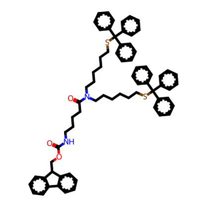 O=C(NCCCCC(=O)N(CCCCCCSC(c1ccccc1)(c1ccccc1)c1ccccc1)CCCCCCSC(c1ccccc1)(c1ccccc1)c1ccccc1)OCC1c2ccccc2-c2ccccc21